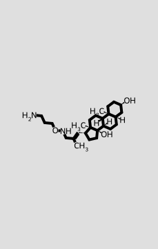 C/C(=C\[C@H]1CC[C@]2(O)[C@@H]3CC[C@@H]4C[C@@H](O)CC[C@]4(C)[C@H]3CC[C@]12C)CNOCCCN